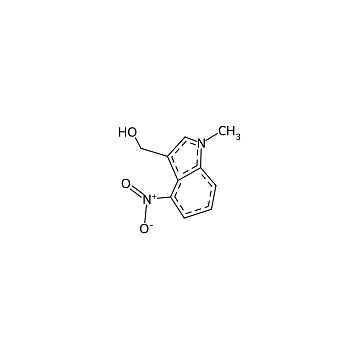 Cn1cc(CO)c2c([N+](=O)[O-])cccc21